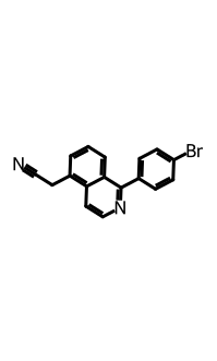 N#CCc1cccc2c(-c3ccc(Br)cc3)nccc12